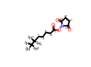 [2H]C([2H])([2H])C([2H])([2H])CCCCC(=O)ON1C(=O)CCC1=O